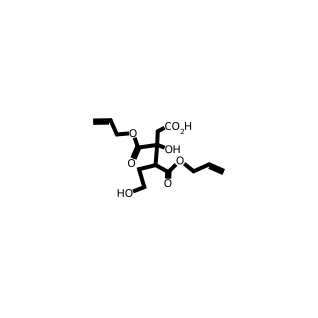 C=CCOC(=O)C(CCO)C(O)(CC(=O)O)C(=O)OCC=C